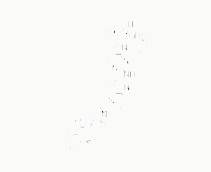 CN(C)C(=O)c1cc2cnc(Nc3ccc(N4CCN(C(=O)/C=C/C(=O)c5ccccc5Br)CC4)cn3)nc2n1C1CCCC1